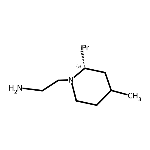 CC1CCN(CCN)[C@H](C(C)C)C1